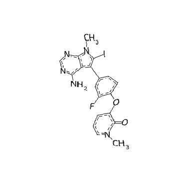 Cn1cccc(Oc2ccc(-c3c(I)n(C)c4ncnc(N)c34)cc2F)c1=O